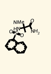 CNC(C)(NS(=O)(=O)c1cccc2ccccc12)C(N)=O